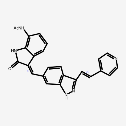 CC(=O)Nc1cccc2c1NC(=O)/C2=C/c1ccc2c(/C=C/c3ccncc3)n[nH]c2c1